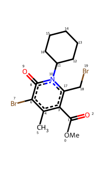 COC(=O)c1c(C)c(Br)c(=O)n(C2CCCCC2)c1CBr